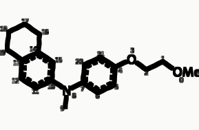 COCCOc1ccc(N(C)c2ccc3c(c2)CCCC3)cc1